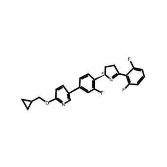 Fc1cc(-c2ccc(OCC3CC3)nc2)ccc1[C@H]1CCC(c2c(F)cccc2F)=N1